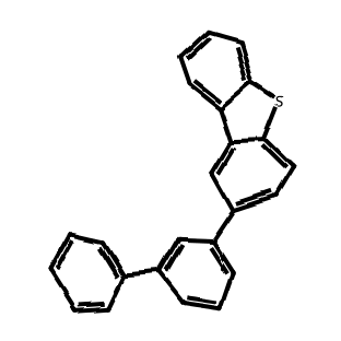 c1ccc(-c2cccc(-c3ccc4sc5ccccc5c4c3)c2)cc1